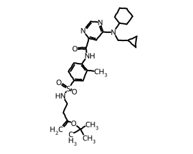 C=C(CCNS(=O)(=O)c1ccc(NC(=O)c2cc(N(CC3CC3)C3CCCCC3)ncn2)c(C)c1)OC(C)(C)C